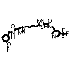 O=C(NCc1cccc(OCF)c1)c1cn(CCCCc2nnc(C(=O)NCc3cncc(C(F)(F)F)c3)s2)nn1